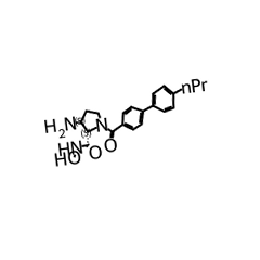 CCCc1ccc(-c2ccc(C(=O)N3CC[C@H](N)[C@H]3C(=O)NO)cc2)cc1